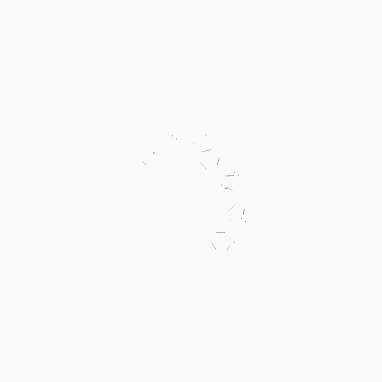 O=C(O)C[C@H]1CCCN(CC(O)(O)c2ccc(-c3noc(-c4cnn(-c5ccccn5)c4C(F)(F)F)n3)cc2)C1